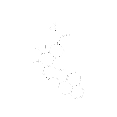 C[C@@H]1CN2c3c(cnc4c(F)c(-c5c(O)cccc5F)c(Cl)cc34)N(C)C(=O)[C@H]2CN1C(=O)[C@@H]1CN1